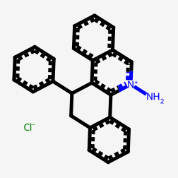 N[n+]1cc2ccccc2c2c1-c1ccccc1CC2c1ccccc1.[Cl-]